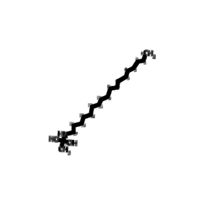 CCCCCCCCCCCCCCCCCCNC(C)(O)O